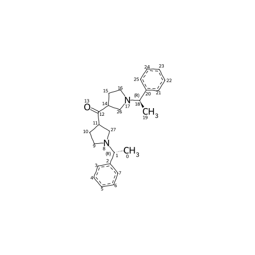 C[C@H](c1ccccc1)N1CCC(C(=O)C2CCN([C@H](C)c3ccccc3)C2)C1